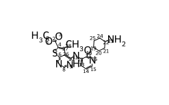 COC(=O)c1sc2ncnc(Nc3cccnc3O[C@H]3CC[C@H](N)CC3)c2c1C